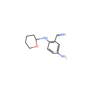 N=Cc1cc(N)ccc1NC1CCCCO1